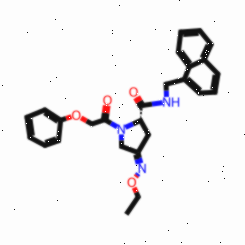 CCON=C1C[C@@H](C(=O)NCc2cccc3ccccc23)N(C(=O)COc2ccccc2)C1